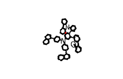 c1ccc(-n2c3ccccc3c3ccccc32)c(-c2ccc(N(c3ccc(-c4cccc5ccccc45)cc3)c3ccc(-c4cccc5ccccc45)cc3)cc2-c2cccc3c2oc2ccccc23)c1